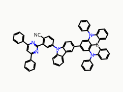 N#Cc1ccc(-n2c3ccccc3c3cc(-c4cc5c6c(c4)N(c4ccccc4)c4ccccc4B6c4ccccc4N5c4ccccc4)ccc32)cc1-c1nc(-c2ccccc2)cc(-c2ccccc2)n1